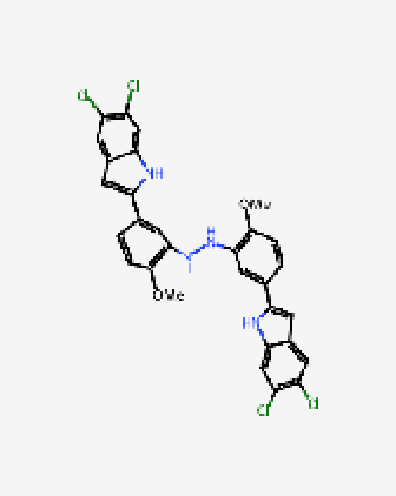 COc1ccc(-c2cc3cc(Cl)c(Cl)cc3[nH]2)cc1NNc1cc(-c2cc3cc(Cl)c(Cl)cc3[nH]2)ccc1OC